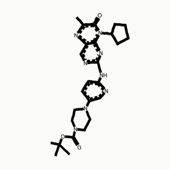 Cc1nc2cnc(Nc3ccc(N4CCN(C(=O)OC(C)(C)C)CC4)cn3)nc2n(C2CCCC2)c1=O